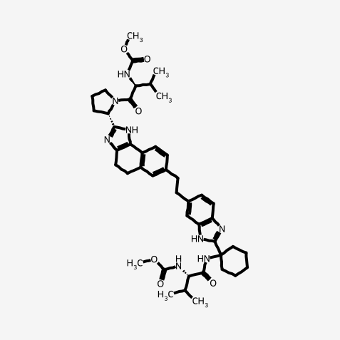 COC(=O)N[C@H](C(=O)NC1(c2nc3ccc(CCc4ccc5c(c4)CCc4nc([C@@H]6CCCN6C(=O)[C@@H](NC(=O)OC)C(C)C)[nH]c4-5)cc3[nH]2)CCCCC1)C(C)C